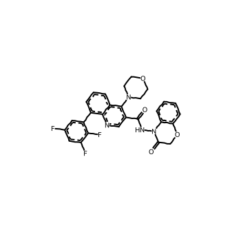 O=C(NN1C(=O)COc2ccccc21)c1cnc2c(-c3cc(F)cc(F)c3F)cccc2c1N1CCOCC1